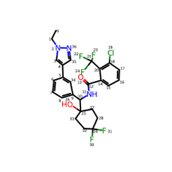 CCn1cc(-c2cccc(C(NC(=O)c3cccc(Cl)c3C(F)(F)F)C3(O)CCC(F)(F)CC3)c2)cn1